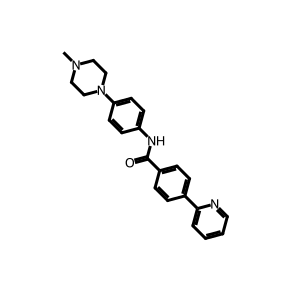 CN1CCN(c2ccc(NC(=O)c3ccc(-c4ccccn4)cc3)cc2)CC1